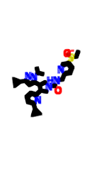 CC[S+]([O-])c1ccc(CNC(=O)N2CC(c3cccc(C4CC4)n3)C(c3cc(C4CC4)nn3C(C)C)C2)nc1